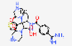 CCC(NC(=O)c1ccc(C(=N)N)cc1)C(c1ccsc1)(C(C(=O)O)N1CCNCC1=O)N1CCNCC1=O